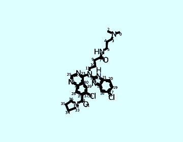 CN(C)CCCNC(=O)CCCN(c1nc2cc(Cl)ccc2[nH]1)c1ncnc2cc(C(=O)N3CCCC3)c(Cl)cc12